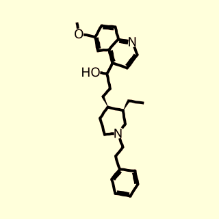 CC[C@H]1CN(CCc2ccccc2)CC[C@H]1CCC(O)c1ccnc2ccc(OC)cc12